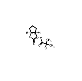 CCC(C)(C)C(=O)O[C@@H]1C(=O)O[C@H]2CCC[C@H]21